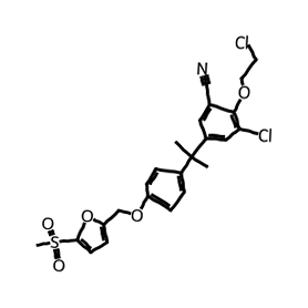 CC(C)(c1ccc(OCc2ccc(S(C)(=O)=O)o2)cc1)c1cc(Cl)c(OCCCl)c(C#N)c1